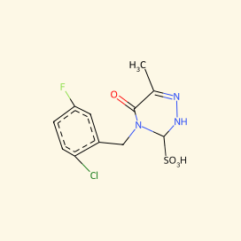 CC1=NNC(S(=O)(=O)O)N(Cc2cc(F)ccc2Cl)C1=O